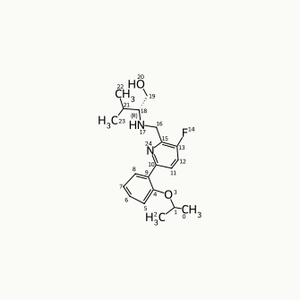 CC(C)Oc1ccccc1-c1ccc(F)c(CN[C@@H](CO)C(C)C)n1